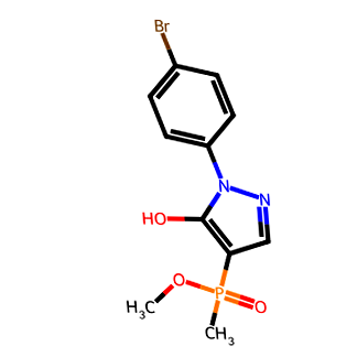 COP(C)(=O)c1cnn(-c2ccc(Br)cc2)c1O